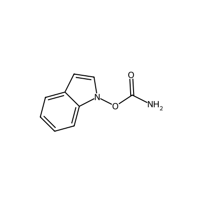 NC(=O)On1ccc2ccccc21